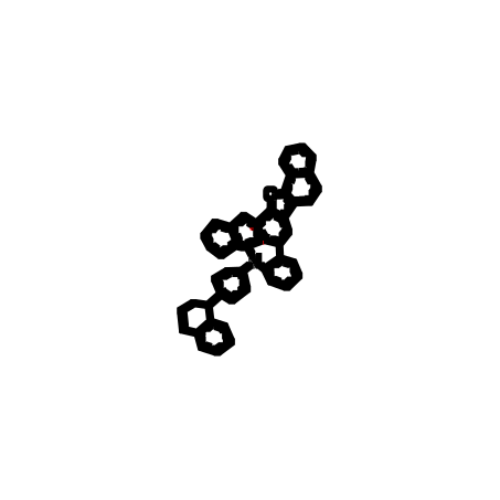 C1=Cc2ccccc2C(c2ccc(N(c3ccccc3-c3ccc4oc5c6ccccc6ccc5c4c3)c3cccc4ccccc34)cc2)C1